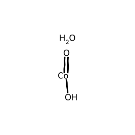 O.[O]=[Co][OH]